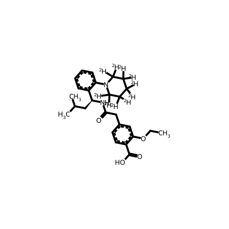 [2H]C1([2H])N(c2ccccc2[C@H](CC(C)C)NC(=O)Cc2ccc(C(=O)O)c(OCC)c2)C([2H])([2H])C([2H])([2H])C([2H])([2H])C1([2H])[2H]